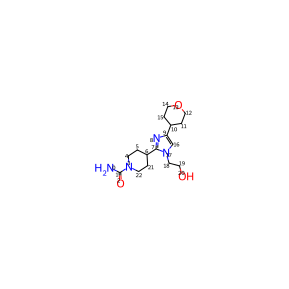 NC(=O)N1CCC(c2nc(C3CCOCC3)cn2CCO)CC1